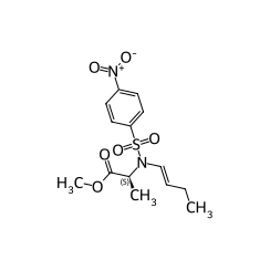 CCC=CN([C@@H](C)C(=O)OC)S(=O)(=O)c1ccc([N+](=O)[O-])cc1